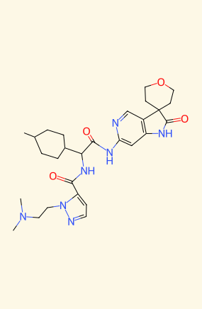 CC1CCC(C(NC(=O)c2ccnn2CCN(C)C)C(=O)Nc2cc3c(cn2)C2(CCOCC2)C(=O)N3)CC1